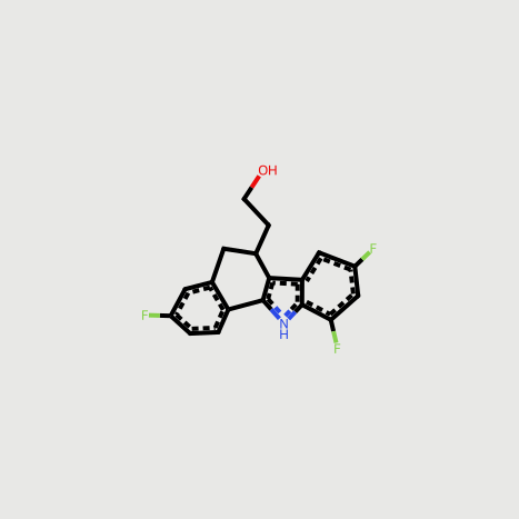 OCCC1Cc2cc(F)ccc2-c2[nH]c3c(F)cc(F)cc3c21